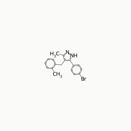 Cc1ccccc1Cc1c(C)n[nH]c1-c1ccc(Br)cc1